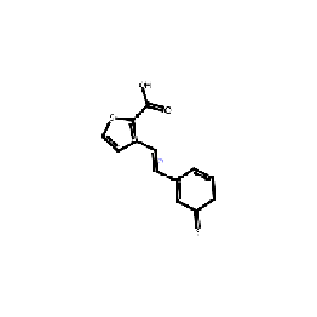 O=C(O)c1sccc1/C=C/C1=CC(=S)CC=C1